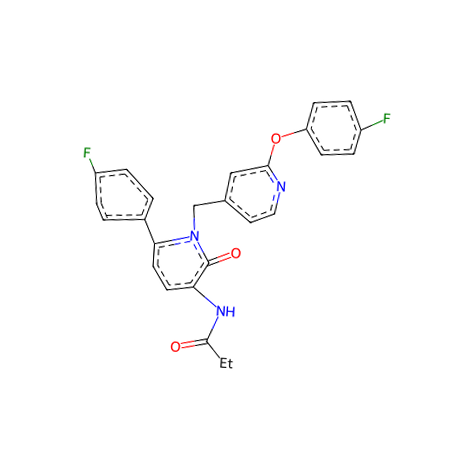 CCC(=O)Nc1ccc(-c2ccc(F)cc2)n(Cc2ccnc(Oc3ccc(F)cc3)c2)c1=O